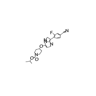 CC(C)OC(=O)N1CCC(Oc2ccnc3c(-c4ccc(C#N)cc4F)cnn23)CC1